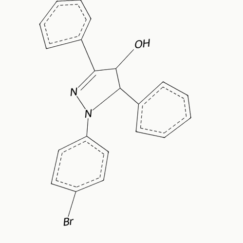 OC1C(c2ccccc2)=NN(c2ccc(Br)cc2)C1c1ccccc1